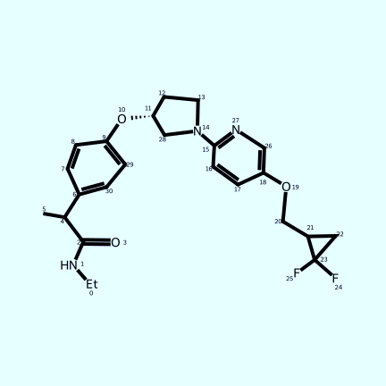 CCNC(=O)C(C)c1ccc(O[C@@H]2CCN(c3ccc(OCC4CC4(F)F)cn3)C2)cc1